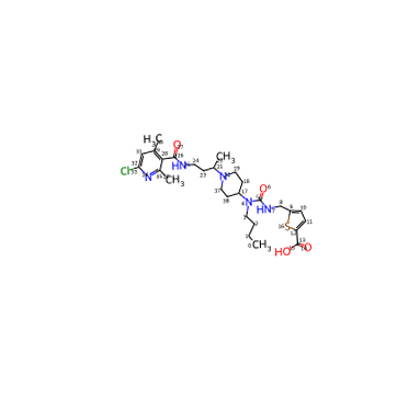 CCCCN(C(=O)NCc1ccc(C(=O)O)s1)C1CCN(C(C)CCNC(=O)c2c(C)cc(Cl)nc2C)CC1